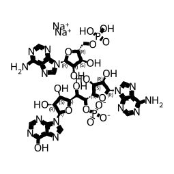 Nc1ncnc2c1ncn2[C@@H]1O[C@H](C(OP(=O)([O-])[O-])C(O)[C@H]2O[C@@H](n3cnc4c(O)ncnc43)[C@H](O)[C@@H]2O)[C@@H](O)[C@H]1O.Nc1ncnc2c1ncn2[C@@H]1O[C@H](COP(=O)(O)O)[C@@H](O)[C@H]1O.[Na+].[Na+]